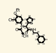 C#CC(=O)N(c1ccc(OCC)c(Cl)c1)C(C(=O)NCCc1ccccc1)c1cccs1